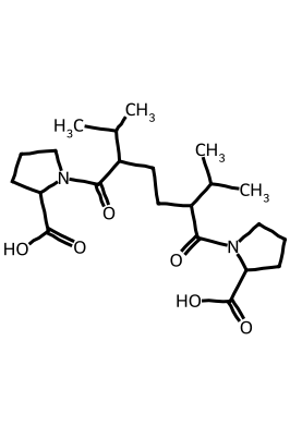 CC(C)C(CCC(C(=O)N1CCCC1C(=O)O)C(C)C)C(=O)N1CCCC1C(=O)O